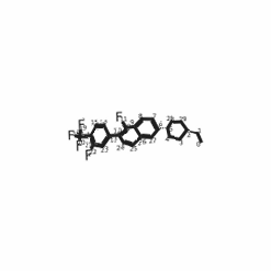 CC[C@H]1CC[C@H](c2ccc3c(F)c(-c4ccc(C(F)(F)F)c(F)c4)ccc3c2)CC1